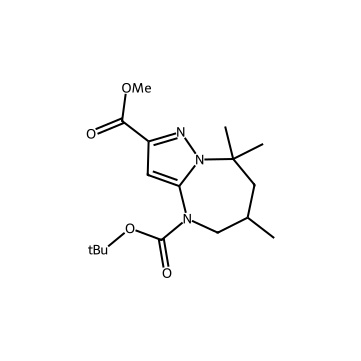 COC(=O)c1cc2n(n1)C(C)(C)CC(C)CN2C(=O)OC(C)(C)C